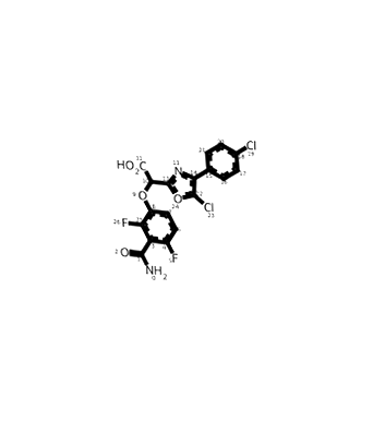 NC(=O)c1c(F)ccc(OC(C(=O)O)c2nc(-c3ccc(Cl)cc3)c(Cl)o2)c1F